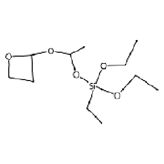 CCO[Si](CC)(OCC)OC(C)OC1CCO1